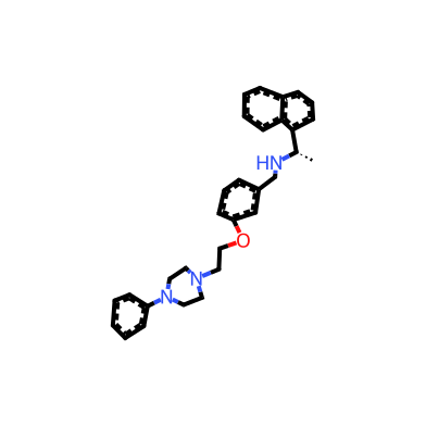 C[C@H](NCc1cccc(OCCN2CCN(c3ccccc3)CC2)c1)c1cccc2ccccc12